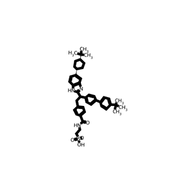 CC(C)(C)c1ccc(-c2ccc(C(Cc3ccc(C(=O)NCCS(=O)(=O)O)cc3)c3nc4cc([C@H]5CC[C@@H](C(C)(C)C)CC5)ccc4[nH]3)cc2)cc1